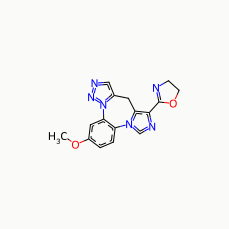 COc1ccc2c(c1)-n1nncc1Cc1c(C3=NCCO3)ncn1-2